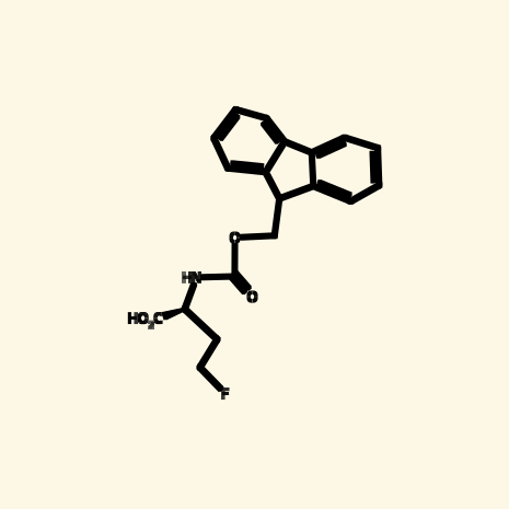 O=C(N[C@@H](CCF)C(=O)O)OCC1c2ccccc2-c2ccccc21